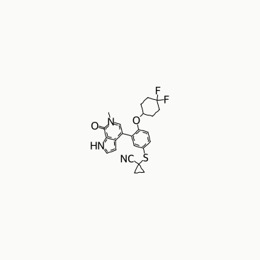 Cn1cc(-c2cc(SC3(C#N)CC3)ccc2OC2CCC(F)(F)CC2)c2cc[nH]c2c1=O